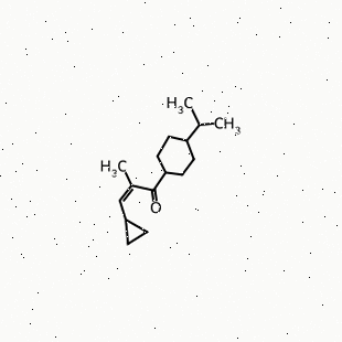 C/C(=C/C1CC1)C(=O)C1CCC(C(C)C)CC1